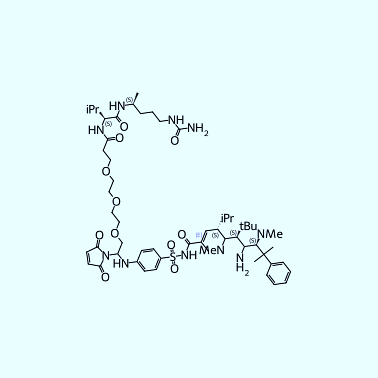 CNC([C@H](/C=C(\C)C(=O)NS(=O)(=O)c1ccc(NC(COCCOCCOCCC(=O)N[C@H](C(=O)N[C@@H](C)CCCNC(N)=O)C(C)C)N2C(=O)C=CC2=O)cc1)C(C)C)[C@H](C(N)[C@@H](NC)C(C)(C)c1ccccc1)C(C)(C)C